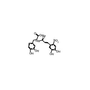 COC(=O)C(Cc1ccc(O)c(O)c1)NC(=O)C=Cc1cc(O)c(O)cc1[N+](=O)[O-]